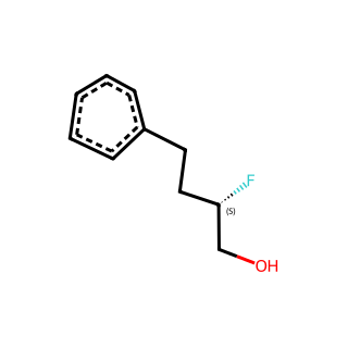 OC[C@@H](F)CCc1ccccc1